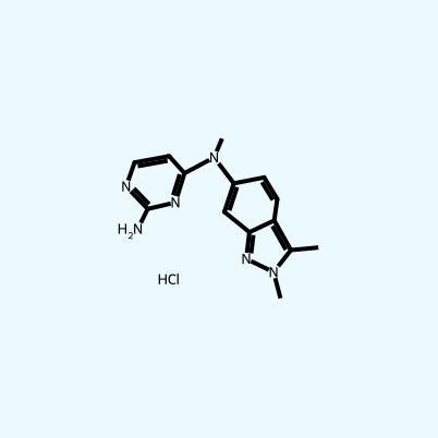 Cc1c2ccc(N(C)c3ccnc(N)n3)cc2nn1C.Cl